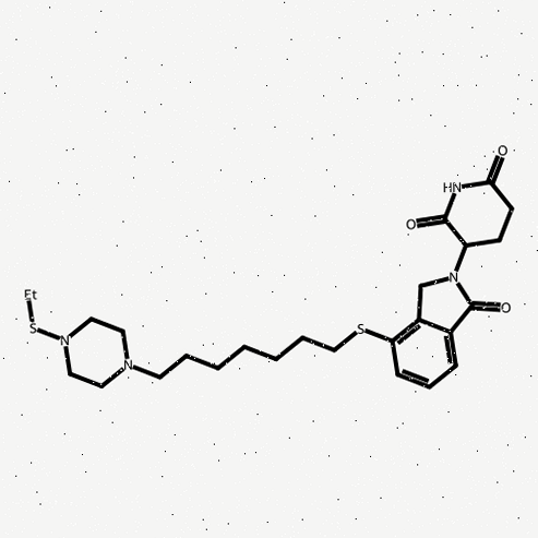 CCSN1CCN(CCCCCCCSc2cccc3c2CN(C2CCC(=O)NC2=O)C3=O)CC1